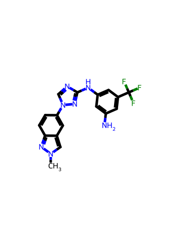 Cn1cc2cc(-n3cnc(Nc4cc(N)cc(C(F)(F)F)c4)n3)ccc2n1